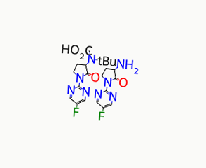 CC(C)(C)N(C(=O)O)C1CCN(c2ncc(F)cn2)C1=O.NC1CCN(c2ncc(F)cn2)C1=O